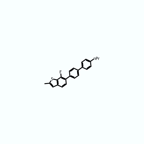 CCCc1ccc(-c2ccc(-c3ccc4cc(C)sc4c3F)cc2)cc1